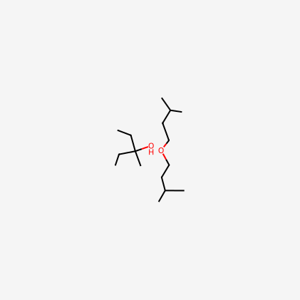 CC(C)CCOCCC(C)C.CCC(C)(O)CC